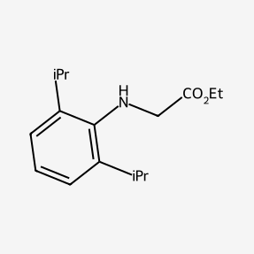 CCOC(=O)CNc1c(C(C)C)cccc1C(C)C